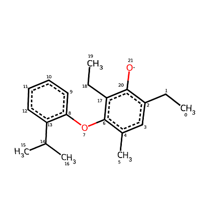 CCc1cc(C)c(Oc2ccccc2C(C)C)c(CC)c1[O]